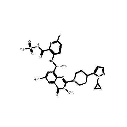 Cc1cc([C@@H](C)Nc2ccc(Cl)nc2C(=O)NS(C)(=O)=O)c2nc(N3CCC(c4ccnn4C4CC4)CC3)n(C)c(=O)c2c1